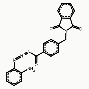 Nc1ccccc1N=[N+]=NC(=O)c1ccc(CN2C(=O)c3ccccc3C2=O)cc1